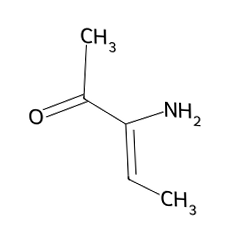 CC=C(N)C(C)=O